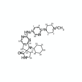 CN1CCN(c2ccc(Nc3ncc4c(n3)N(C3CCCCC3)C3(CCNC3=O)C4)cn2)CC1